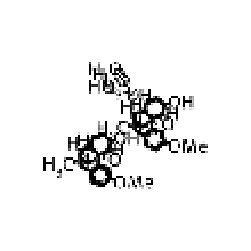 COc1ccc2c3c1O[C@H]1[C@@H](O)C=C[C@H]4[C@@H](C2)N(C)CC[C@@]341.COc1ccc2c3c1O[C@H]1[C@@H](O)C=C[C@H]4[C@@H](C2)N(C)CC[C@@]341.O.O.O.O=S(=O)(O)O